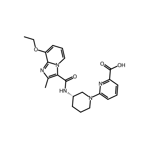 CCOc1cccn2c(C(=O)N[C@H]3CCCN(c4cccc(C(=O)O)n4)C3)c(C)nc12